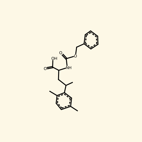 Cc1ccc(C)c(C(C)CC(NC(=O)OCc2ccccc2)C(=O)O)c1